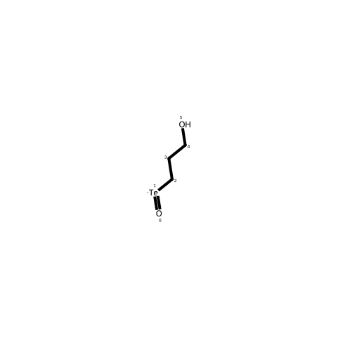 O=[Te]CCCO